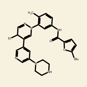 CCC1C=NN(c2cc(NC(=O)c3ccc(C(C)(C)C)o3)ccc2C)C=C1c1cncc(N2CCNCC2)c1